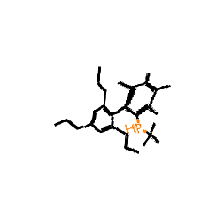 CCCc1cc(CCC)c(-c2c(C)c(C)c(C)c(C)c2PC(C)(C)C)c(CCC)c1